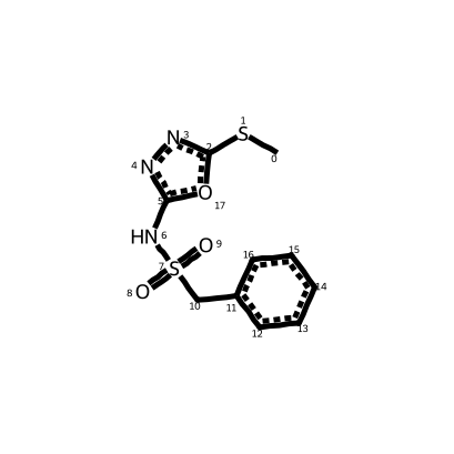 CSc1nnc(NS(=O)(=O)Cc2ccccc2)o1